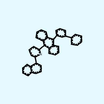 c1ccc(-c2cccc(-c3c4ccccc4c(-c4cccc(-c5cccc6ccccc56)n4)c4ccccc34)c2)cc1